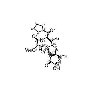 CO[C@H]1C(=O)N2C(C(=O)N3CCCC3)=C(C)C(Sc3nc(=O)c(O)nn3C)S(=O)(=O)[C@H]12